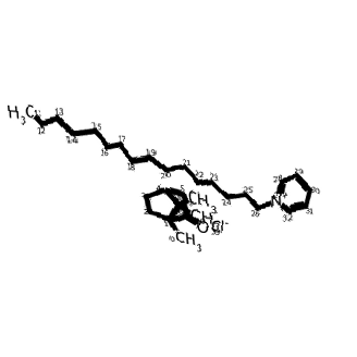 CC12CCC(CC1=O)C2(C)C.CCCCCCCCCCCCCCCC[n+]1ccccc1.[Cl-]